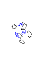 c1ccc(-c2cc(N(c3ccccc3)c3ccc4ccn(-c5ccccc5)c4c3)cnn2)cc1